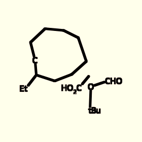 CC(=O)O.CC(C)(C)OC=O.CCC1CCCCCCCC1